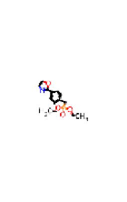 CCOP(=O)(Cc1ccc(C2=NCCO2)cc1)OCC